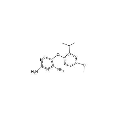 COc1[c]cc(Oc2cnc(N)nc2N)c(C(C)C)c1